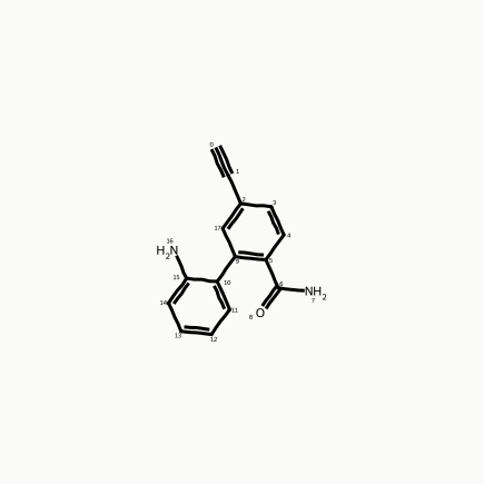 C#Cc1ccc(C(N)=O)c(-c2ccccc2N)c1